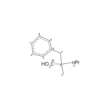 CCCC(C)(Cc1ccccc1)C(=O)O